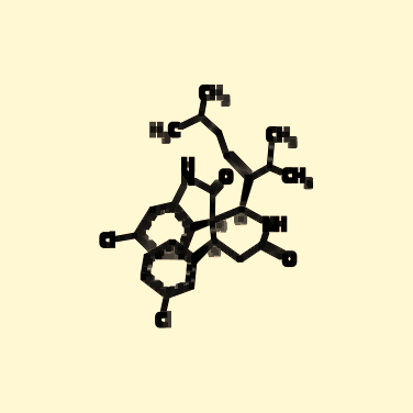 CC(C)CC=C(C(C)C)[C@H]1NC(=O)C[C@@H](c2cccc(Cl)c2)[C@]12C(=O)Nc1cc(Cl)ccc12